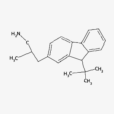 CC(CN)Cc1ccc2c(c1)C(C(C)(C)C)c1ccccc1-2